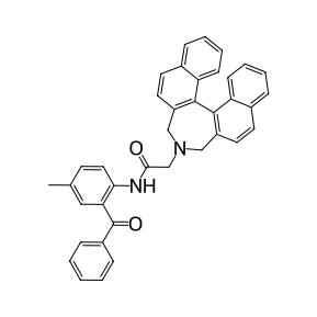 Cc1ccc(NC(=O)CN2Cc3ccc4ccccc4c3-c3c(ccc4ccccc34)C2)c(C(=O)c2ccccc2)c1